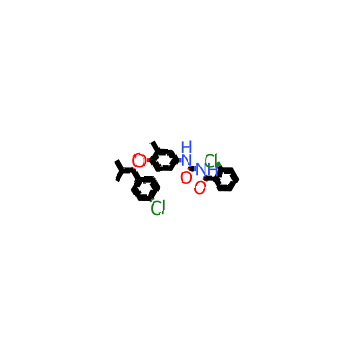 Cc1cc(NC(=O)NC(=O)c2ccccc2Cl)ccc1OC(c1ccc(Cl)cc1)C(C)C